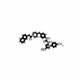 Cc1ccc(-n2nc(C(C)(C)C)cc2NC(=O)Nc2ccc(CC3CCN(C(=O)Cc4ccc5ccccc5c4)CC3)cc2)cc1